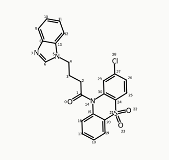 O=C(CCCn1cnc2ccccc21)N1c2ccccc2S(=O)(=O)c2ccc(Cl)cc21